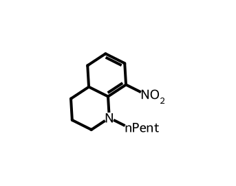 CCCCCN1CCCC2CC=CC([N+](=O)[O-])=C21